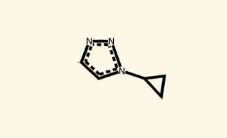 [c]1cn(C2CC2)nn1